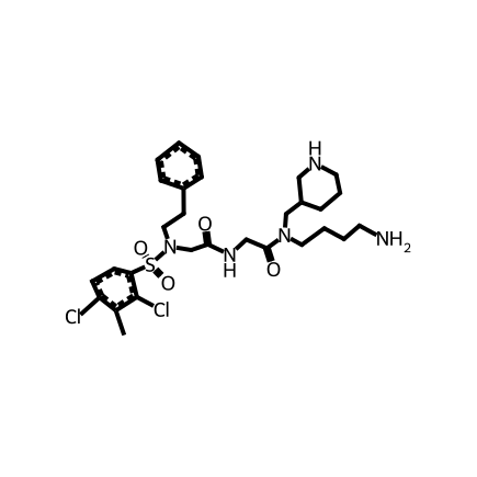 Cc1c(Cl)ccc(S(=O)(=O)N(CCc2ccccc2)CC(=O)NCC(=O)N(CCCCN)CC2CCCNC2)c1Cl